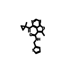 Cc1oc2ncnc(NC3(C)CC3)c2c1C(=O)NCc1cccs1